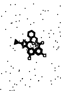 O=C(NC[C@@H]1CCCCN1C(=O)c1nc(C2CC2)sc1-c1cccc(Cl)c1)c1cccc(Cl)c1